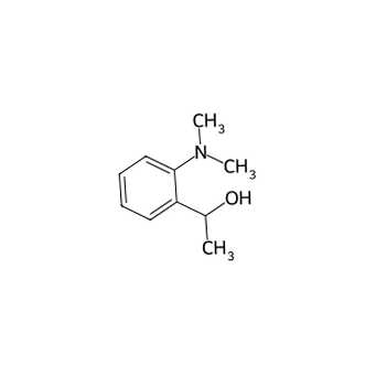 CC(O)c1ccccc1N(C)C